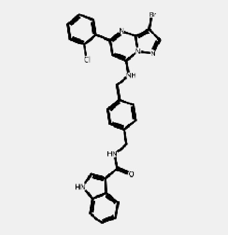 O=C(NCc1ccc(CNc2cc(-c3ccccc3Cl)nc3c(Br)cnn23)cc1)c1c[nH]c2ccccc12